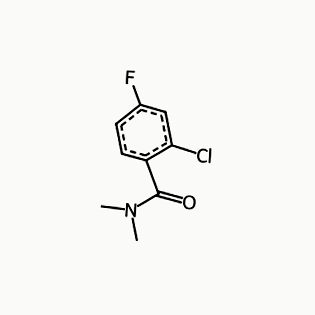 CN(C)C(=O)c1ccc(F)cc1Cl